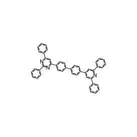 c1ccc(-c2cc(-c3ccc(-c4ccc(-c5cc(-c6ccccc6)nc(-c6ccccc6)n5)cc4)cc3)cc(-c3ccccc3)n2)cc1